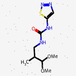 COC(OC)C(C)CNC(=O)Nc1cnns1